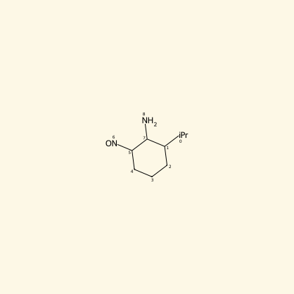 CC(C)C1CCCC(N=O)C1N